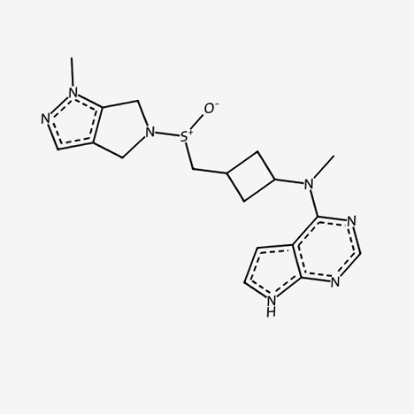 CN(c1ncnc2[nH]ccc12)C1CC(C[S+]([O-])N2Cc3cnn(C)c3C2)C1